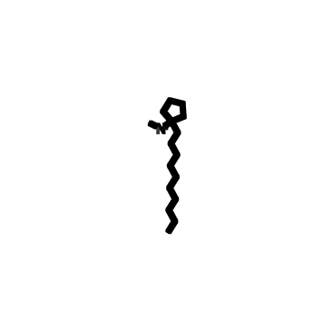 CCCCCCCCCCC1([N]C)CCCC1